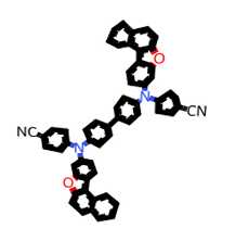 N#Cc1ccc(N(c2ccc(-c3ccc(N(c4ccc(C#N)cc4)c4ccc5c(c4)oc4ccc6ccccc6c45)cc3)cc2)c2ccc3c(c2)oc2ccc4ccccc4c23)cc1